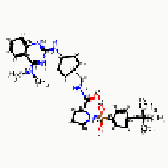 CN(C)c1nc(N[C@H]2CC[C@@H](CNC(=O)[C@@H]3CCCN3S(=O)(=O)c3ccc(C(C)(C)C)cc3)CC2)nc2ccccc12